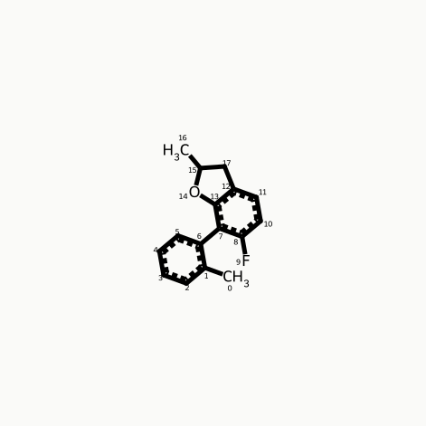 Cc1ccccc1-c1c(F)ccc2c1OC(C)C2